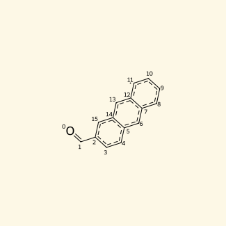 O=Cc1ccc2cc3ccc[c]c3cc2c1